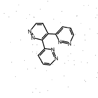 c1cnnc(-c2ccnnc2-c2cccnn2)c1